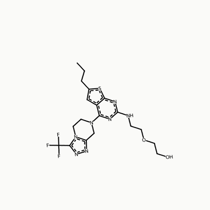 CCCc1cc2c(N3CCn4c(nnc4C(F)(F)F)C3)nc(NCCOCCO)nc2s1